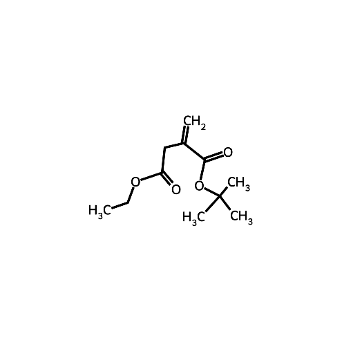 C=C(CC(=O)OCC)C(=O)OC(C)(C)C